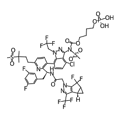 CC(C)(CCc1ccc(-c2ccc(Cl)c3c(N(C(=O)OCCCCOP(=O)(O)O)S(C)(=O)=O)nn(CC(F)(F)F)c23)c([C@H](Cc2cc(F)cc(F)c2)NC(=O)Cn2nc(C(F)(F)F)c3c2C(F)(F)C2C[C@H]32)n1)S(C)(=O)=O